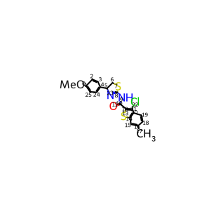 COc1ccc(C2CSC(NC(=O)c3sc4cc(C)ccc4c3Cl)=N2)cc1